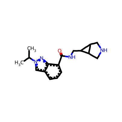 CC(C)n1cc2cccc(C(=O)NCC3C4CNCC43)c2n1